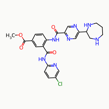 COC(=O)c1ccc(NC(=O)c2cnc(C3CNCCCN3)cn2)c(C(=O)Nc2ccc(Cl)cn2)c1